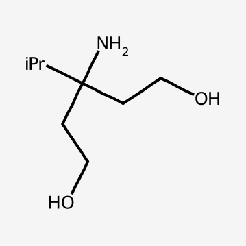 CC(C)C(N)(CCO)CCO